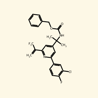 C=C(c1cc(C(C)(C)NC(=O)OCc2ccccc2)cc(-c2ccc(F)c(Cl)c2)n1)C(F)(F)F